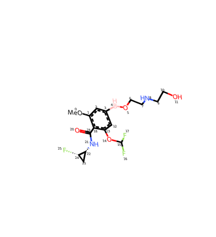 COc1cc(BOCCNCCO)cc(OC(F)F)c1C(=O)N[C@@H]1C[C@@H]1F